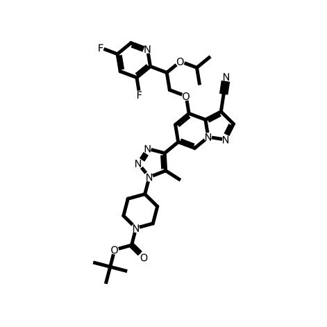 Cc1c(-c2cc(OCC(OC(C)C)c3ncc(F)cc3F)c3c(C#N)cnn3c2)nnn1C1CCN(C(=O)OC(C)(C)C)CC1